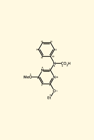 CCOc1cc(OC)nc(N(C(=O)O)c2ccccc2)n1